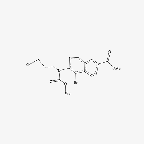 COC(=O)c1ccc2c(Br)c(N(CCCCl)C(=O)OC(C)(C)C)ccc2c1